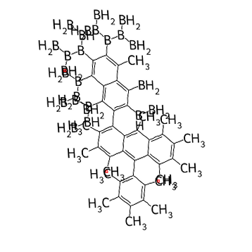 BBB(B(B)B)c1c(B(B(B)B)B(B)B)c(C)c2c(B)c(BB)c(-c3c(C)c(C)c(C)c4c(-c5c(C)c(C)c(C)c(C)c5C)c5c(C)c(C)c(C)c(C)c5c(C)c34)c(B(B)BB)c2c1B(B)B(B)B